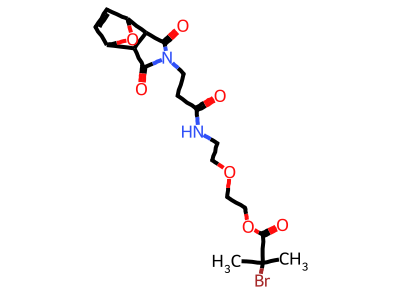 CC(C)(Br)C(=O)OCCOCCNC(=O)CCN1C(=O)C2C3C=CC(O3)C2C1=O